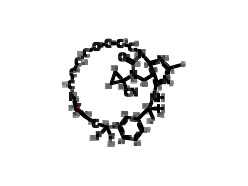 Cc1nc2c3c(n1)N(CCCOCCCCN1CC(C1)CC(F)(F)c1cccc(c1)[C@@H](C)N2)C(=O)N(C1(C#N)CC1)C3